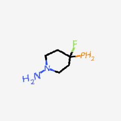 NN1CCC(F)(P)CC1